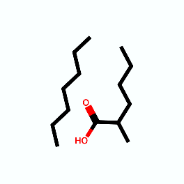 CCCCC(C)C(=O)O.CCCCCCC